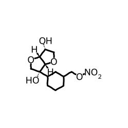 O=[N+]([O-])OCC1CCCC([C@@]2(O)CO[C@@H]3[C@H](O)CO[C@@H]32)C1